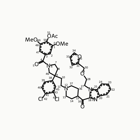 COc1cc(C(=O)N2CCC(CCN3CCC(C(=O)c4nc5ccccc5n4CCOCc4ccco4)CC3)(c3ccc(Cl)c(Cl)c3)C2)cc(OC)c1OC(C)=O